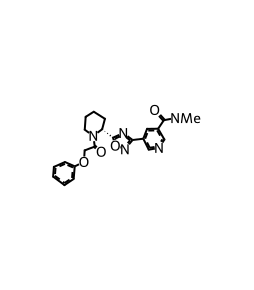 CNC(=O)c1cncc(-c2noc([C@H]3CCCCN3C(=O)COc3ccccc3)n2)c1